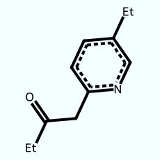 CCC(=O)Cc1ccc(CC)cn1